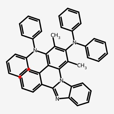 Cc1c(N(c2ccccc2)c2ccccc2)c(C)c2c(c1N(c1ccccc1)c1ccccc1)c1ccccc1c1nc3ccccc3n12